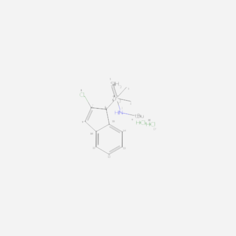 CC(C)(C)[NH][Zr]([CH3])([CH3])(=[SiH2])[CH]1C(Cl)=Cc2ccccc21.Cl.Cl